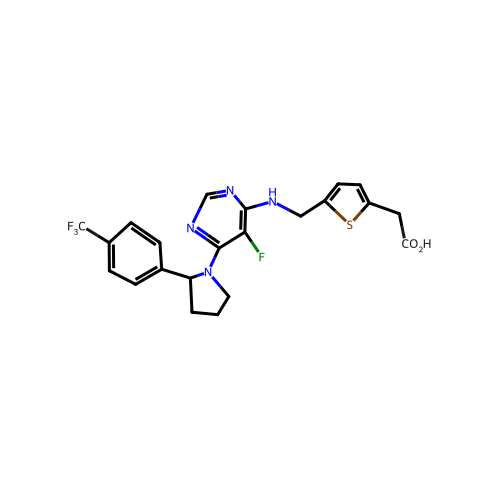 O=C(O)Cc1ccc(CNc2ncnc(N3CCCC3c3ccc(C(F)(F)F)cc3)c2F)s1